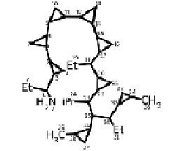 CCC(N)C1CC1C1CC1C1CC1C1CC1C1CC1C(CC)C1CC1C(C(C)C)C(C1CC1C)C(CC)C1CC1C